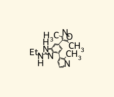 CCNc1nc2c(-c3cccnc3C)cc(-c3c(C)noc3C)cc2[nH]1